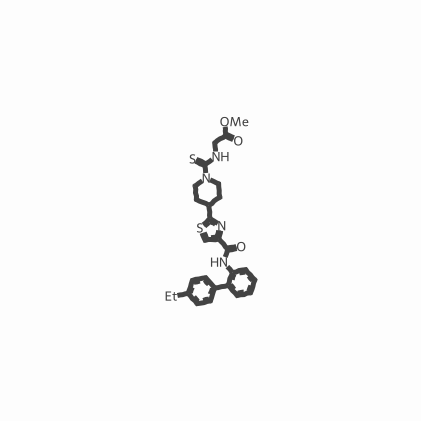 CCc1ccc(-c2ccccc2NC(=O)c2csc(C3CCN(C(=S)NCC(=O)OC)CC3)n2)cc1